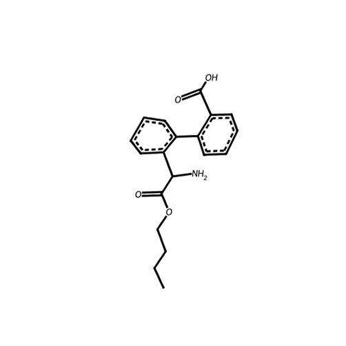 CCCCOC(=O)C(N)c1ccccc1-c1ccccc1C(=O)O